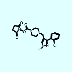 CC(C)n1cc(CN2CCN(C(=O)ON3C(=O)CCC3=O)CC2)c(-c2ccccc2Cl)n1